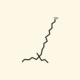 CCCCCC(C)(CCC)CCCCCCCCCCCO